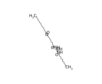 CCCCCCCCCCCCCCCC(=O)OCCCCCCCCCC(=O)NCC(O)CNC(=O)CCCCCCCCCCC